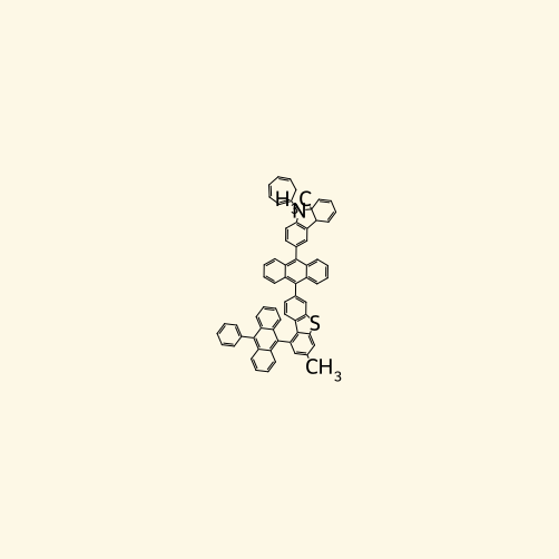 Cc1cc(-c2c3ccccc3c(-c3ccccc3)c3ccccc23)c2c(c1)sc1cc(-c3c4ccccc4c(-c4ccc5c(c4)C4C=CC=CC4(C)N5C4=CC=CC=CC4)c4ccccc34)ccc12